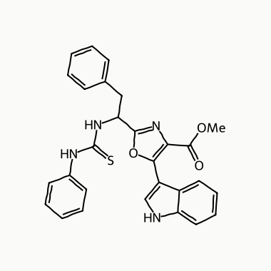 COC(=O)c1nc(C(Cc2ccccc2)NC(=S)Nc2ccccc2)oc1-c1c[nH]c2ccccc12